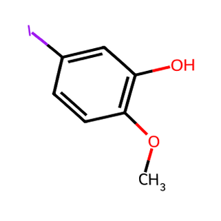 COc1ccc(I)cc1O